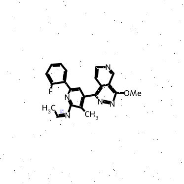 C/C=N\c1nc(-c2ccccc2F)cc(-c2nnc(OC)c3cnccc23)c1C